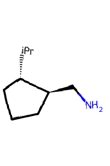 CC(C)[C@H]1CCC[C@@H]1CN